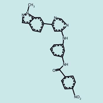 Cn1ncc2ccc(-c3cc(Nc4cccc(NC(=O)c5ccc([N+](=O)[O-])cc5)c4)ncn3)cc21